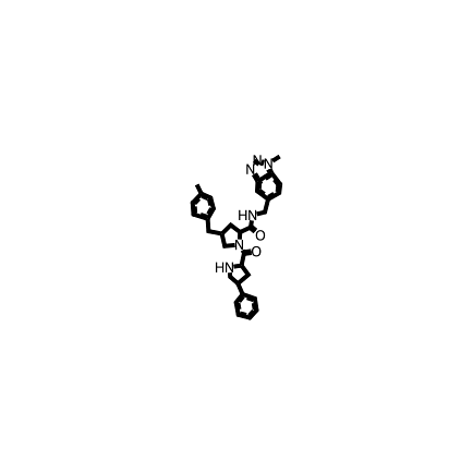 Cc1ccc(CC2CC(C(=O)NCc3ccc4c(c3)nnn4C)N(C(=O)C3CC(c4ccccc4)CN3)C2)cc1